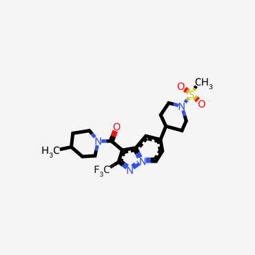 CC1CCN(C(=O)c2c(C(F)(F)F)nn3ccc(C4CCN(S(C)(=O)=O)CC4)cc23)CC1